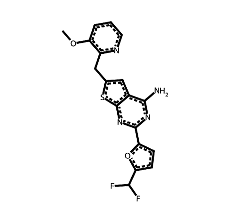 COc1cccnc1Cc1cc2c(N)nc(-c3ccc(C(F)F)o3)nc2s1